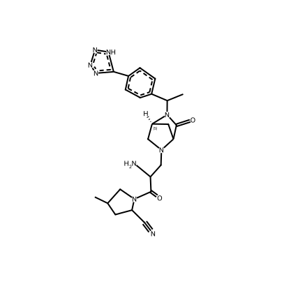 CC1CC(C#N)N(C(=O)C(N)CN2C[C@@H]3CC2C(=O)N3C(C)c2ccc(-c3nnn[nH]3)cc2)C1